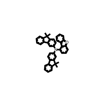 CC1(C)c2ccccc2-c2cc(N(c3ccc4c(c3)C(C)(C)c3ccccc3-4)c3cccc4oc5ccccc5c34)ccc21